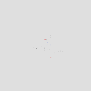 CCCCCCCCCCC(CO)CCCCCCCC.CCCCCCCCCCCC(=O)NC(CCC(=O)O)C(=O)O